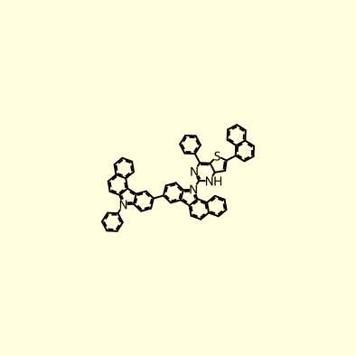 C1=C(c2cccc3ccccc23)SC2=C(c3ccccc3)N=C(n3c4ccc(-c5ccc6c(c5)c5c7ccccc7ccc5n6-c5ccccc5)cc4c4ccc5ccccc5c43)NC12